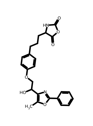 Cc1oc(-c2ccccc2)nc1C(O)COc1ccc(CCCC2NC(=O)OC2=O)cc1